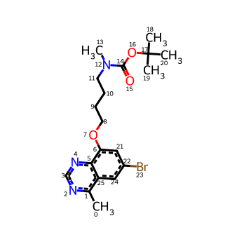 Cc1ncnc2c(OCCCCN(C)C(=O)OC(C)(C)C)cc(Br)cc12